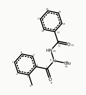 Cc1ccccc1C(=O)N(NC(=O)c1ccccc1)C(C)(C)C